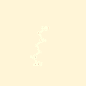 CCCOCCOCS